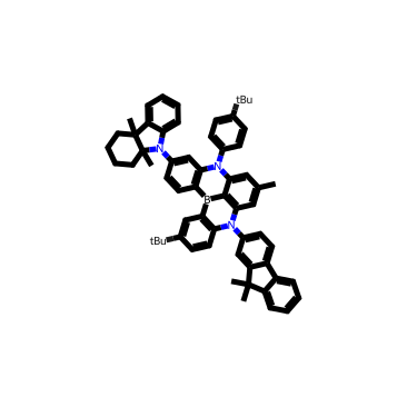 Cc1cc2c3c(c1)N(c1ccc(C(C)(C)C)cc1)c1cc(N4c5ccccc5C5(C)CCCCC45C)ccc1B3c1cc(C(C)(C)C)ccc1N2c1ccc2c(c1)C(C)(C)c1ccccc1-2